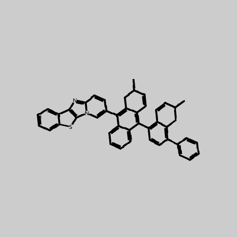 CC1C=Cc2c(-c3c4c(c(-c5ccc6nc7c8ccccc8sc7n6c5)c5ccccc35)CC(C)C=C4)ccc(-c3ccccc3)c2C1